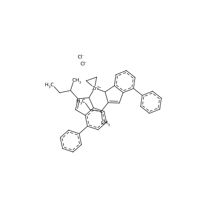 CCC(C)C1=Cc2c(-c3ccccc3)cccc2[CH]1[Zr+2]1([CH]2C(C(C)CC)=Cc3c(-c4ccccc4)cccc32)[CH2][CH2]1.[Cl-].[Cl-]